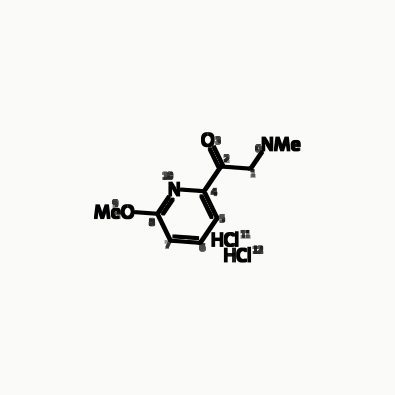 CNCC(=O)c1cccc(OC)n1.Cl.Cl